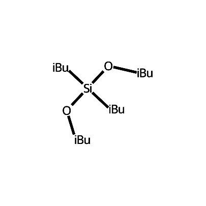 CCC(C)O[Si](OC(C)CC)(C(C)CC)C(C)CC